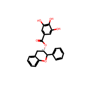 O=C(O[C@H]1Cc2ccccc2OC1c1ccccc1)c1cc(O)c(O)c(O)c1